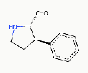 O=C[C@H]1NCC[C@@H]1c1ccccc1